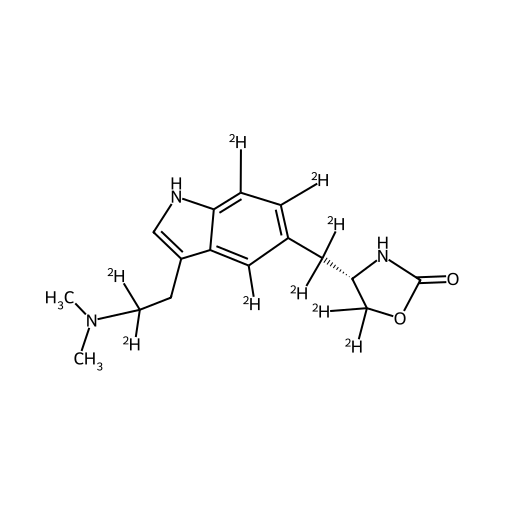 [2H]c1c(C([2H])([2H])[C@@H]2NC(=O)OC2([2H])[2H])c([2H])c2c(CC([2H])([2H])N(C)C)c[nH]c2c1[2H]